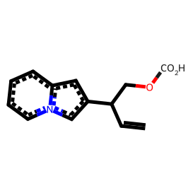 C=CC(COC(=O)O)c1cc2ccccn2c1